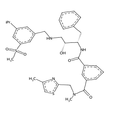 Cc1csc(CN(C)C(=O)c2cccc(C(=O)N[C@@H](Cc3ccccc3)[C@H](O)CNCc3cc(C(C)C)cc(S(C)(=O)=O)c3)c2)n1